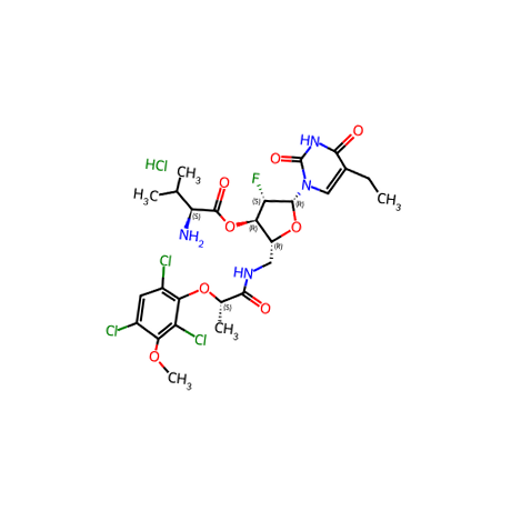 CCc1cn([C@@H]2O[C@H](CNC(=O)[C@H](C)Oc3c(Cl)cc(Cl)c(OC)c3Cl)[C@@H](OC(=O)[C@@H](N)C(C)C)[C@@H]2F)c(=O)[nH]c1=O.Cl